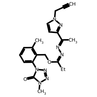 C#CCn1ccc(/C(C)=N/N=C(/CC)OCc2c(C)cccc2-n2nnn(C)c2=O)n1